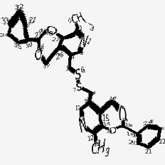 Cc1ncc(CSSCc2cnc(C)c3c2COC(c2ccccc2)O3)c2c1OC(c1ccccc1)OC2